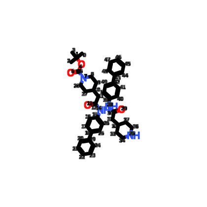 CC(C)(C)OC(=O)N1CCC(CC(=O)Nc2ccc(-c3ccccc3)cc2)CC1.O=C(CC1CCNCC1)Nc1ccc(-c2ccccc2)cc1